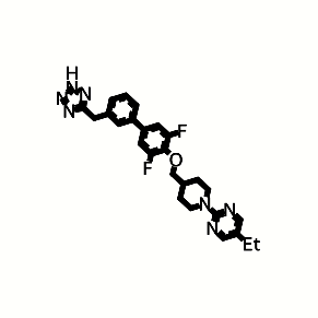 CCc1cnc(N2CCC(COc3c(F)cc(-c4cccc(Cc5nn[nH]n5)c4)cc3F)CC2)nc1